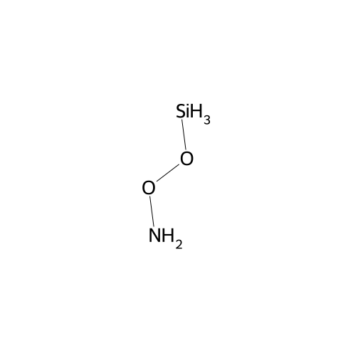 NOO[SiH3]